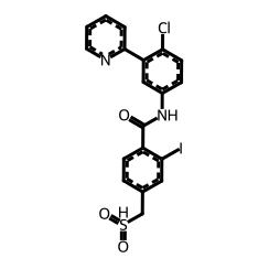 O=C(Nc1ccc(Cl)c(-c2ccccn2)c1)c1ccc(C[SH](=O)=O)cc1I